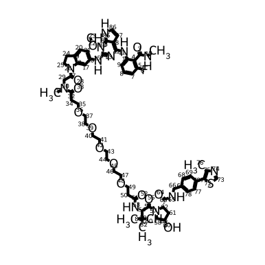 CNC(=O)c1c(F)cccc1Nc1nc(Nc2cc3c(cc2OC)CCN3C(=O)CN(C)C(=O)CCOCCOCCOCCOCCOCCC(=O)N[C@H](C(=O)N2C[C@H](O)C[C@H]2C(=O)NCc2ccc(-c3scnc3C)cc2)C(C)(C)C)nc2[nH]ccc12